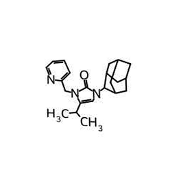 CC(C)c1cn(C2C3CC4CC(C3)CC2C4)c(=O)n1Cc1ccccn1